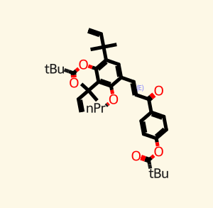 C=CC(C)(C)c1cc(/C=C/C(=O)c2ccc(OC(=O)C(C)(C)C)cc2)c(OCCC)c(C(C)(C)C=C)c1OC(=O)C(C)(C)C